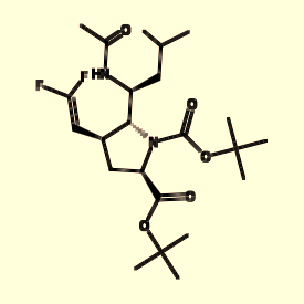 CC(=O)N[C@@H](CC(C)C)[C@H]1[C@H](C=C(F)F)C[C@H](C(=O)OC(C)(C)C)N1C(=O)OC(C)(C)C